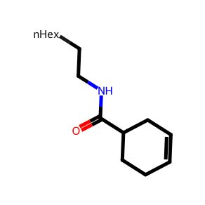 CCCCCCCCNC(=O)C1CC=CCC1